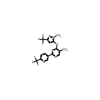 Cc1cnc(-c2ccc(C(F)(F)F)nc2)nc1Oc1cc(C(F)(F)F)nn1C